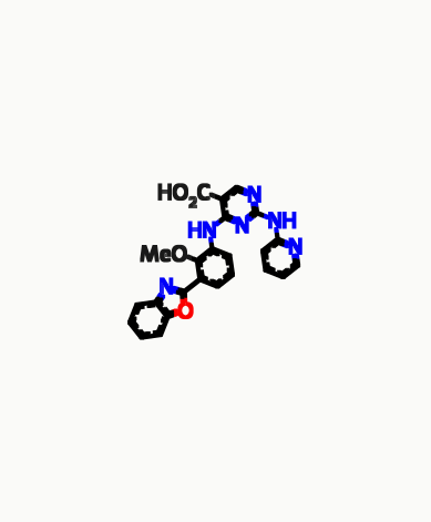 COc1c(Nc2nc(Nc3ccccn3)ncc2C(=O)O)cccc1-c1nc2ccccc2o1